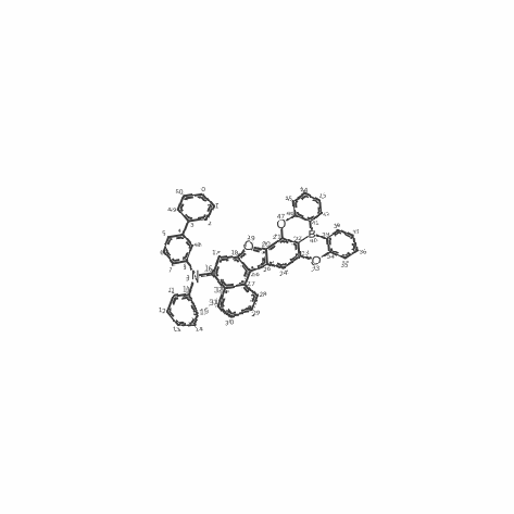 c1ccc(-c2cccc(N(c3ccccc3)c3cc4oc5c6c7c(cc5c4c4ccccc34)Oc3ccccc3B7c3ccccc3O6)c2)cc1